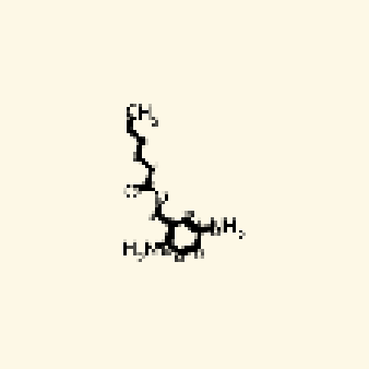 CCCCCC(=O)OCc1cc(N)ccc1N